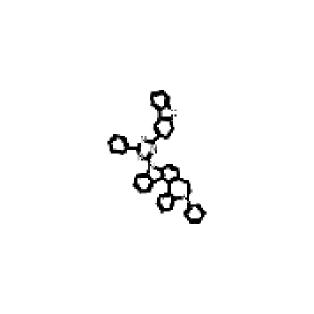 C1=C(c2nc(-c3ccccc3)nc(-n3c4ccccc4c4c5c(ccc43)CCN(c3ccccc3)c3ccccc3-5)n2)CCc2oc3ccccc3c21